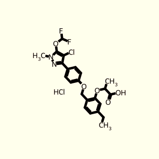 CCc1ccc(COc2ccc(-c3nn(C)c(OC(F)F)c3Cl)cc2)c(OC(C)C(=O)O)c1.Cl